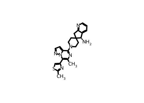 Cc1nc(-c2c(C)nc(N3CCC4(CC3)Cc3ncccc3[C@H]4N)c3ccnn23)cs1